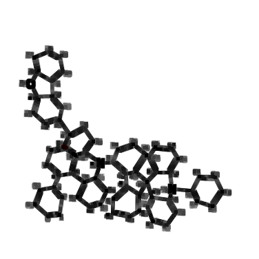 c1ccc(-c2ccccc2-c2ccccc2N(c2ccc(-c3ccc4oc5ccccc5c4c3)cc2)c2cccc3c2-c2ccccc2C32c3ccccc3N(c3ccccc3)c3ccccc32)cc1